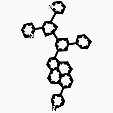 c1ccc(-c2cc(-c3cc(-c4ccccn4)cc(-c4ccccn4)c3)cc(-c3ccc4ccc5c(-c6ccncc6)ccc6ccc3c4c65)c2)cc1